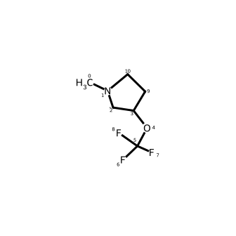 CN1[CH]C(OC(F)(F)F)CC1